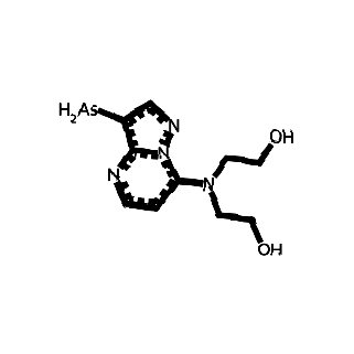 OCCN(CCO)c1ccnc2c([AsH2])cnn12